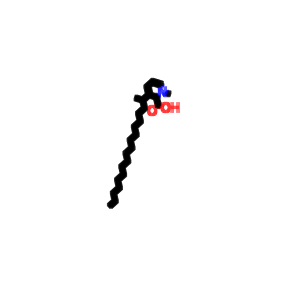 CCCCCCCCCCCCCCCCC(C)C1=CC=CN(C)C1C(=O)O